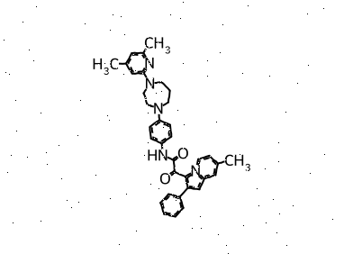 Cc1cc(C)nc(N2CCCN(c3ccc(NC(=O)C(=O)c4c(-c5ccccc5)cc5cc(C)ccn45)cc3)CC2)c1